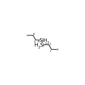 CCC[SiH2][SiH2]CCC